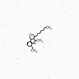 CCCCCCCCC1C(C)=NC2=C(C=CCC2CC)C1CC